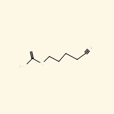 N#CCCCCNC(=O)O